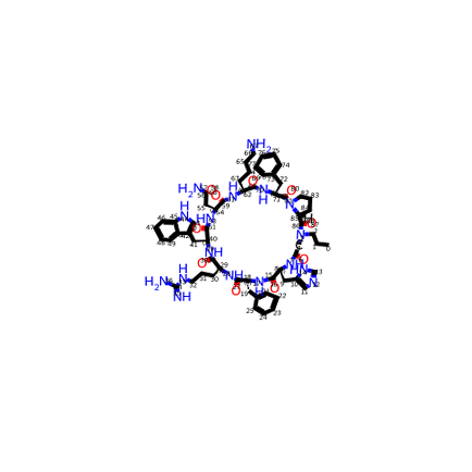 CCCN1CC(=O)N[C@@H](Cc2cnc[nH]2)C(=O)N[C@H](Cc2ccccc2)C(=O)N[C@@H](CCCNC(=N)N)C(=O)N[C@@H](Cc2c[nH]c3ccccc23)C(=O)N[C@@H](CC(N)=O)C(=O)N[C@@H](CCCCN)C(=O)N[C@@H](Cc2ccccc2)C(=O)N2CCC[C@@H]2C1=O